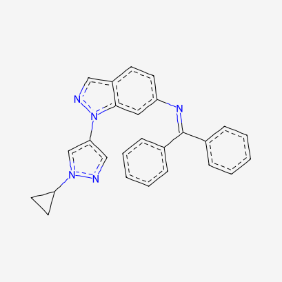 c1ccc(C(=Nc2ccc3cnn(-c4cnn(C5CC5)c4)c3c2)c2ccccc2)cc1